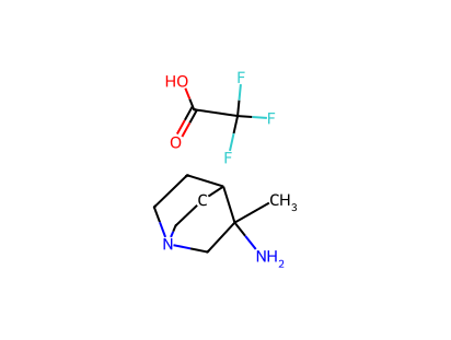 CC1(N)CN2CCC1CC2.O=C(O)C(F)(F)F